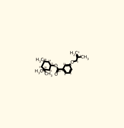 C=C(C)COc1cccc(C(=O)OC2CC(C)CC(C)(C)C2)c1